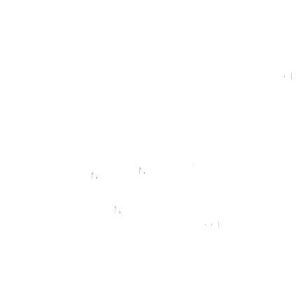 CCOC(=O)c1cnc(N2CCc3ccccc32)nc1OCc1ccc(Cl)cc1